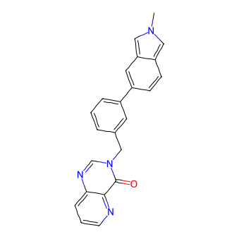 Cn1cc2ccc(-c3cccc(Cn4cnc5cccnc5c4=O)c3)cc2c1